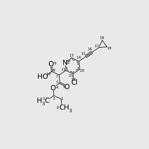 CCC(C)OC(=O)C(C(=O)O)c1ncc(C#CC2CC2)cc1Cl